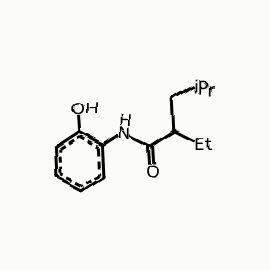 CCC(CC(C)C)C(=O)Nc1ccccc1O